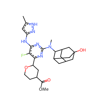 COC(=O)C1CCOC(c2nc(N(C)C3C4CC5CC3CC(O)(C5)C4)nc(Nc3cc(C)[nH]n3)c2F)C1